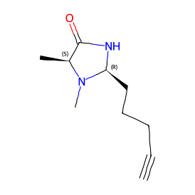 C#CCCC[C@@H]1NC(=O)[C@H](C)N1C